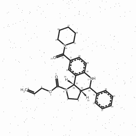 C=CCOC(=O)N1CC[C@H]2C(c3ccccc3)Nc3ccc(C(=O)N4CCCCC4)cc3[C@H]21